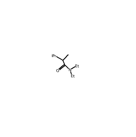 CCN(CC)C(=O)C(C)C(C)C